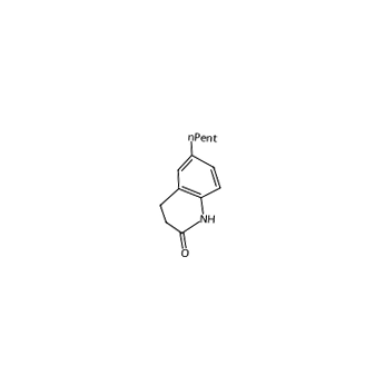 CCCCCc1ccc2c(c1)CCC(=O)N2